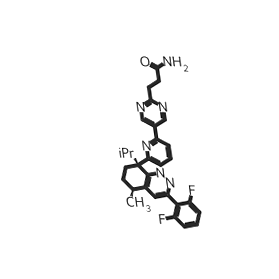 CC(C)[C@]1(c2cccc(-c3cnc(CCC(N)=O)nc3)n2)CC[C@H](C)c2cc(-c3c(F)cccc3F)nnc21